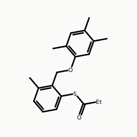 CCC(=O)Sc1cccc(C)c1COc1cc(C)c(C)cc1C